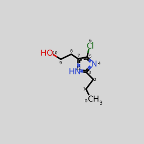 CCCc1nc(Cl)c(CCO)[nH]1